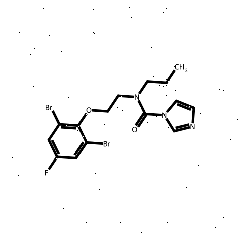 CCCN(CCOc1c(Br)cc(F)cc1Br)C(=O)n1ccnc1